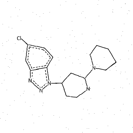 Clc1ccc2c(c1)nnn2C1CC[N]C(N2CCCCC2)C1